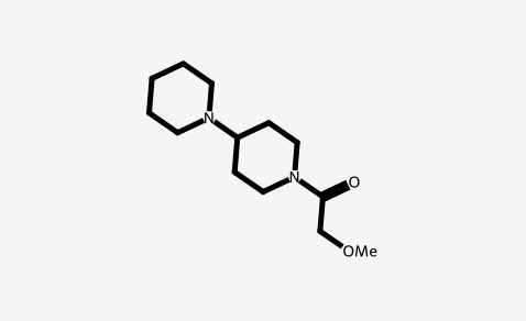 COCC(=O)N1CCC(N2CCCCC2)CC1